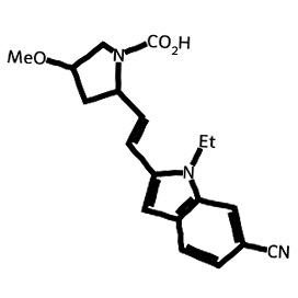 CCn1c(C=CC2CC(OC)CN2C(=O)O)cc2ccc(C#N)cc21